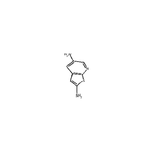 Nc1cnc2sc(N)cc2c1